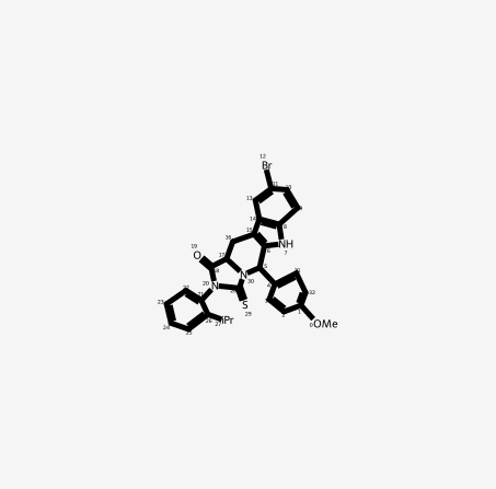 COc1ccc(C2c3[nH]c4ccc(Br)cc4c3CC3C(=O)N(c4ccccc4C(C)C)C(=S)N32)cc1